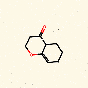 O=C1CCOC2=CCCCC12